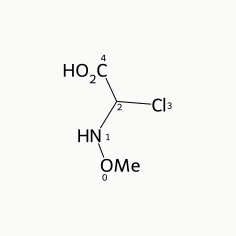 CONC(Cl)C(=O)O